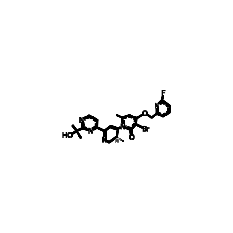 Cc1cc(OCc2cccc(F)n2)c(Br)c(=O)n1C1=CC(c2ccnc(C(C)(C)O)n2)=NC[C@H]1C